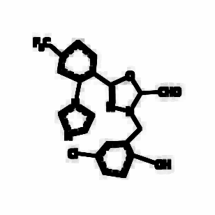 O=CC1OC(c2ccc(C(F)(F)F)cc2-n2ccnc2)=NN1Cc1cc(Cl)ccc1O